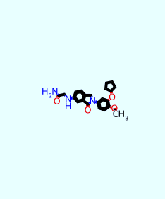 COc1ccc(N2Cc3ccc(NCC(N)=O)cc3C2=O)cc1OC1CCCC1